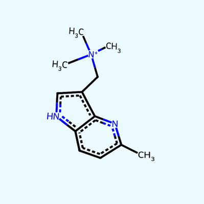 Cc1ccc2[nH]cc(C[N+](C)(C)C)c2n1